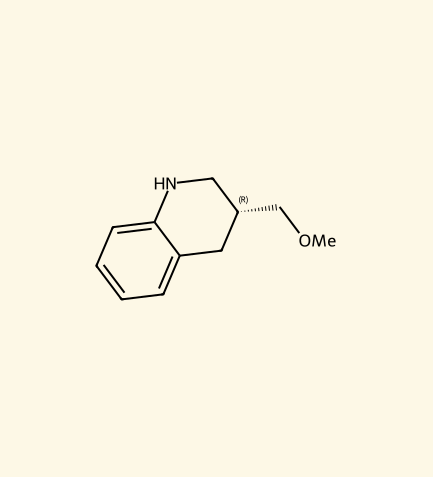 COC[C@H]1CNc2ccccc2C1